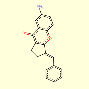 Nc1ccc2oc3c(c(=O)c2c1)CCC3=Cc1ccccc1